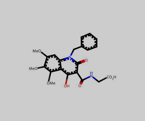 COc1cc2c(c(O)c(C(=O)NCC(=O)O)c(=O)n2Cc2ccccc2)c(OC)c1OC